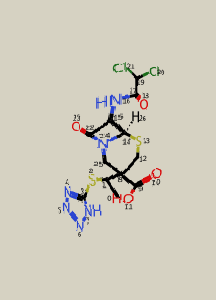 CC(Sc1nnn[nH]1)C1(C(=O)O)CS[C@@H]2C(NC(=O)C(Cl)Cl)C(=O)N2C1